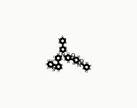 c1ccc(-c2ccc(N(c3cccc(-c4cccc5sc6ccccc6c45)c3)c3ccc4c(c3)oc3cc5oc(-c6ccccc6)nc5cc34)cc2)cc1